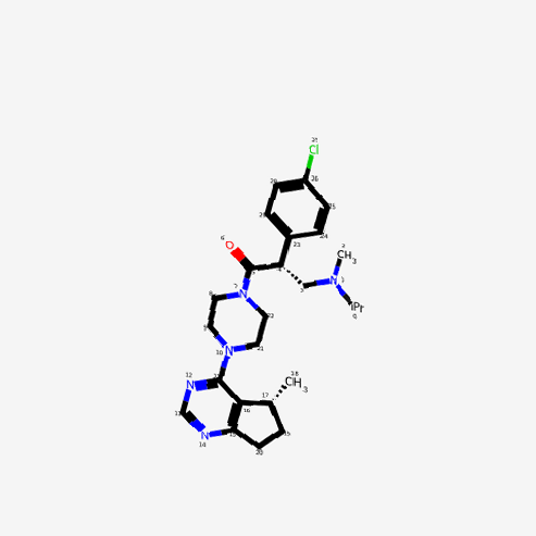 CC(C)N(C)C[C@H](C(=O)N1CCN(c2ncnc3c2[C@H](C)CC3)CC1)c1ccc(Cl)cc1